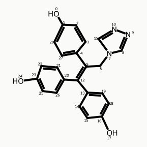 Oc1ccc(C(Cn2cnnc2)=C(c2ccc(O)cc2)c2ccc(O)cc2)cc1